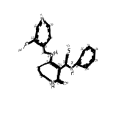 O=C1NCCC(NCc2ccncc2F)=C1C(=S)Nc1ccccc1